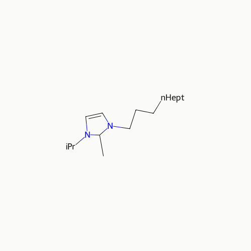 CCCCCCCCCCN1C=CN(C(C)C)C1C